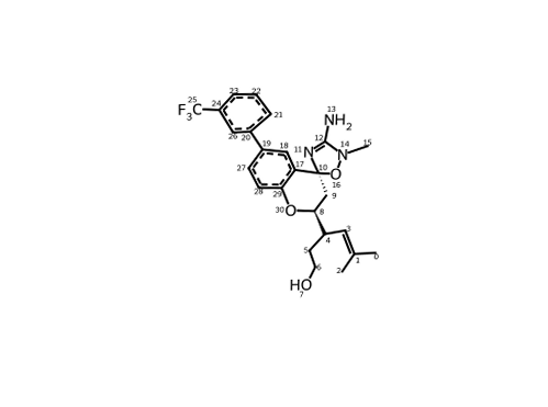 CC(C)=CC(CCO)[C@@H]1C[C@@]2(N=C(N)N(C)O2)c2cc(-c3cccc(C(F)(F)F)c3)ccc2O1